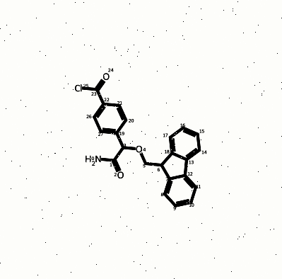 NC(=O)C(OCC1c2ccccc2-c2ccccc21)c1ccc(C(=O)Cl)cc1